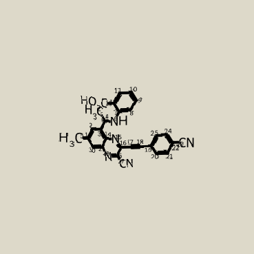 Cc1cc([C@@H](C)Nc2ccccc2C(=O)O)c2nc(C#Cc3ccc(C#N)cc3)c(C#N)nc2c1